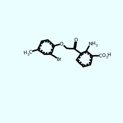 Cc1ccc(OCC(=O)c2cccc(C(=O)O)c2N)c(Br)c1